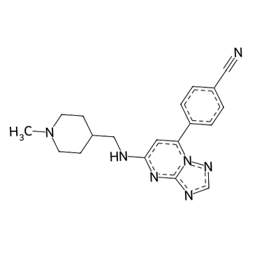 CN1CCC(CNc2cc(-c3ccc(C#N)cc3)n3ncnc3n2)CC1